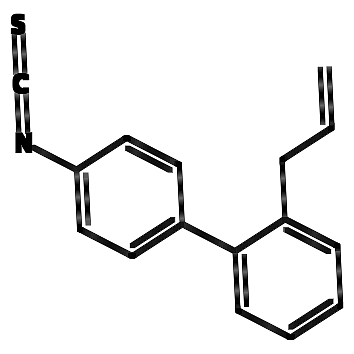 C=CCc1ccccc1-c1ccc(N=C=S)cc1